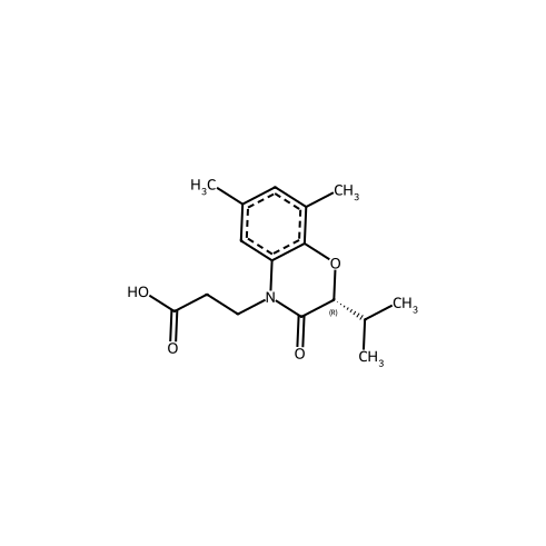 Cc1cc(C)c2c(c1)N(CCC(=O)O)C(=O)[C@@H](C(C)C)O2